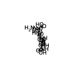 CC(C)(O/N=C(\C(=O)NC1CN(C(=O)NS(=O)(=O)N2CCN(NC(=O)c3cc(=O)c(O)c[nH]3)C2=O)C1=O)c1csc(N)n1)C(=O)O